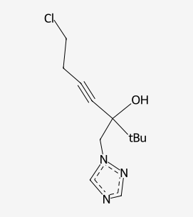 CC(C)(C)C(O)(C#CCCCl)Cn1cncn1